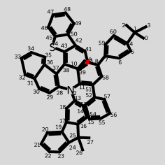 CC(C)(C)c1ccc(-c2ccc(N(c3ccc4c(c3)-c3ccccc3C4(C)C)c3ccc4ccccc4c3-c3cccc4c3sc3ccccc34)c(-c3ccccc3)c2)cc1